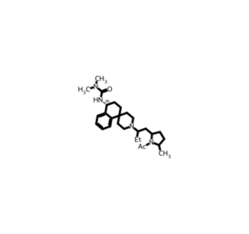 CCC(CC1CCC(C)N1C(C)=O)N1CCC2(CC[C@@H](NC(=O)N(C)C)c3ccccc32)CC1